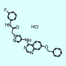 Cl.O=C(Cn1cc(Nc2ncnc3cc(OCc4ccccc4)ccc23)cn1)Nc1cccc(F)c1